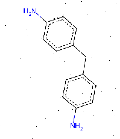 Nc1[c]cc(Cc2c[c]c(N)cc2)cc1